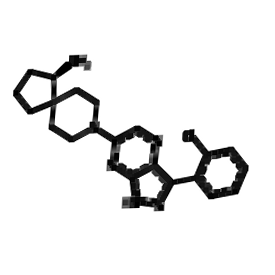 N[C@@H]1CCCC12CCN(c1cnc3c(-c4ccccc4Cl)n[nH]c3n1)CC2